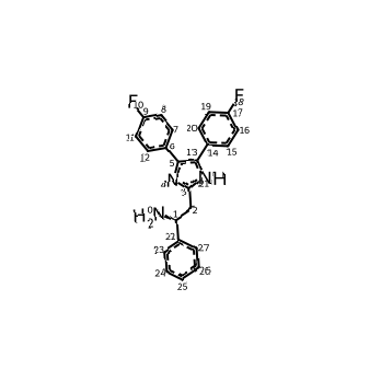 N[C@@H](Cc1nc(-c2ccc(F)cc2)c(-c2ccc(F)cc2)[nH]1)c1ccccc1